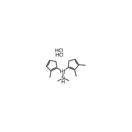 CC1=CC[C]([Hf]([C]2=C(C)C=CC2)[SiH](C)C)=C1C.Cl.Cl